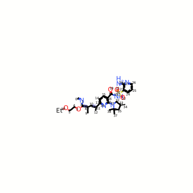 C=N/C(OCCOCC)=C(C)\C=C(/C)c1ccc(C(=O)NS(=O)(=O)c2cccnc2N)c(N2C[C@@H](C)CC2(C)C)n1